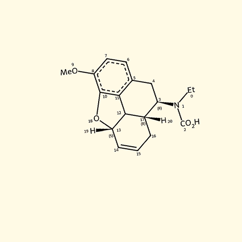 CCN(C(=O)O)[C@@H]1Cc2ccc(OC)c3c2C2[C@H](C=CC[C@H]21)O3